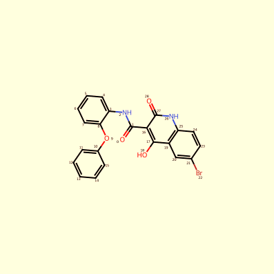 O=C(Nc1ccccc1Oc1ccccc1)c1c(O)c2cc(Br)ccc2[nH]c1=O